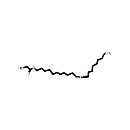 CCCCCCCC/C=C\CCCCCCCCCCCCOC(=O)CO